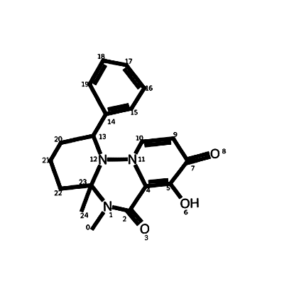 CN1C(=O)c2c(O)c(=O)ccn2N2C(c3ccccc3)CCCC12C